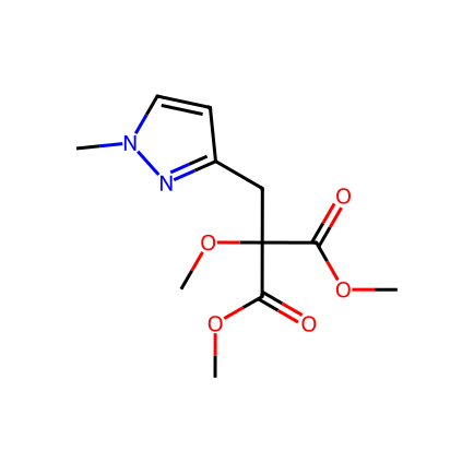 COC(=O)C(Cc1ccn(C)n1)(OC)C(=O)OC